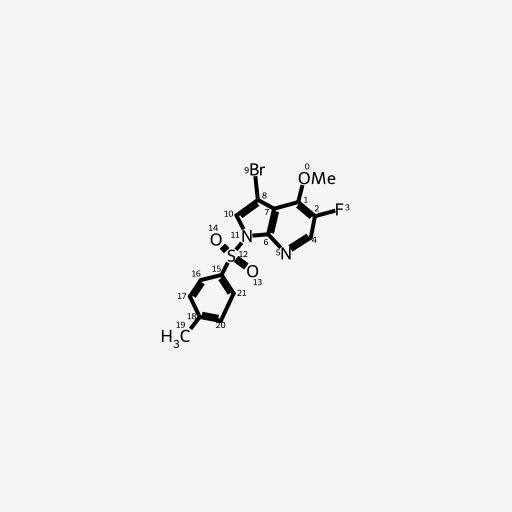 COc1c(F)cnc2c1c(Br)cn2S(=O)(=O)c1ccc(C)cc1